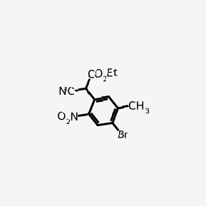 CCOC(=O)C(C#N)c1cc(C)c(Br)cc1[N+](=O)[O-]